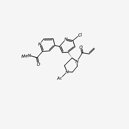 C=CC(=O)N1CCN(C(C)=O)C[C@@H]1c1cc(Cl)nc(-c2ccnc(C(=O)NC)c2)c1